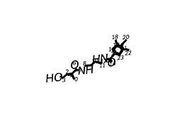 C/C(=C\CO)C(=O)NCCCCNC(=O)c1cc(C)c(C)c(C)c1